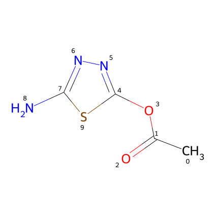 CC(=O)Oc1nnc(N)s1